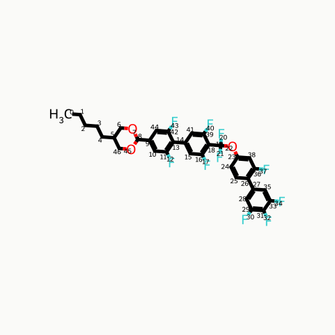 CCCCCC1COC(c2cc(F)c(-c3cc(F)c(C(F)(F)Oc4ccc(-c5cc(F)c(F)c(F)c5)c(F)c4)c(F)c3)c(F)c2)OC1